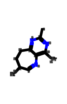 CCC1C=Nc2c(nc(C)nc2C(C)C)CC1